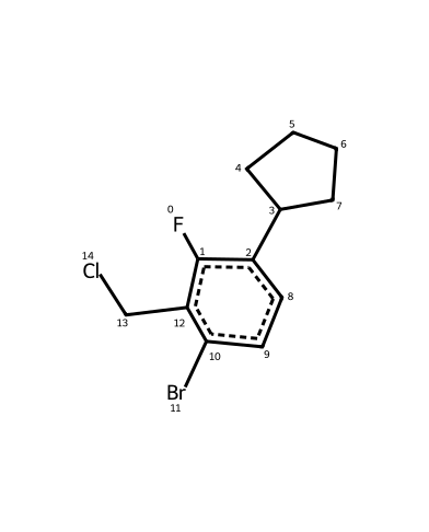 Fc1c(C2CCCC2)ccc(Br)c1CCl